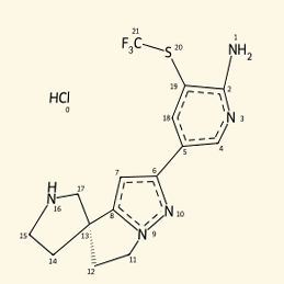 Cl.Nc1ncc(-c2cc3n(n2)CC[C@@]32CCNC2)cc1SC(F)(F)F